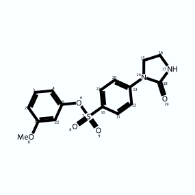 COc1cccc(OS(=O)(=O)c2ccc(N3CCNC3=O)cc2)c1